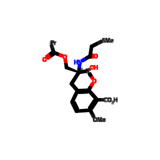 COc1ccc2c(c1C(=O)O)OB(O)[C@@](COC(=O)C(C)C)(NC(=O)CSC)C2